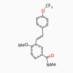 CNC(=O)c1ccc(OC)c(C=Cc2ccc(OC(F)(F)F)cc2)c1